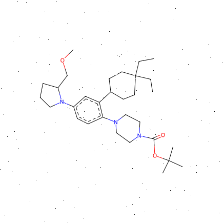 CCC1(CC)CCC(c2cc(N3CCCC3COC)ccc2N2CCN(C(=O)OC(C)(C)C)CC2)CC1